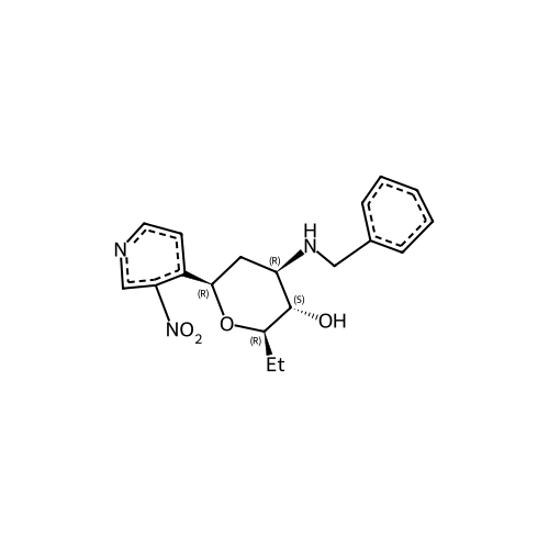 CC[C@H]1O[C@@H](c2ccncc2[N+](=O)[O-])C[C@@H](NCc2ccccc2)[C@@H]1O